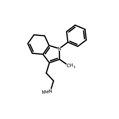 CNCCc1c2c(n(-c3ccccc3)c1C)CCC=C2